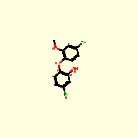 COc1cc(Cl)ccc1Oc1ccc(Cl)cc1O